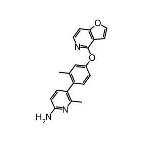 Cc1cc(Oc2nccc3occc23)ccc1-c1ccc(N)nc1C